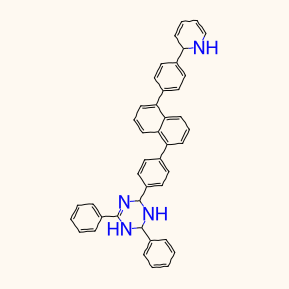 C1=CNC(c2ccc(-c3cccc4c(-c5ccc(C6N=C(c7ccccc7)NC(c7ccccc7)N6)cc5)cccc34)cc2)C=C1